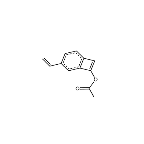 C=Cc1ccc2c(c1)C(OC(C)=O)=C2